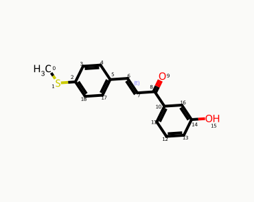 CSc1ccc(/C=C/C(=O)c2cccc(O)c2)cc1